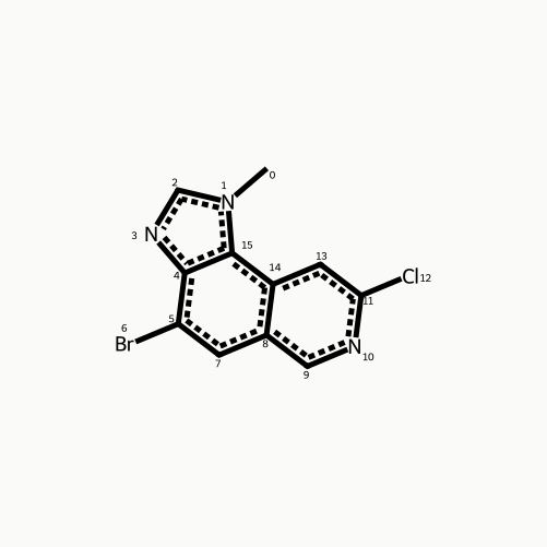 Cn1cnc2c(Br)cc3cnc(Cl)cc3c21